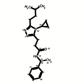 CC(C)CCc1nnc(CCC(=O)N[C@@H](C)c2ccccc2)n1C1CC1